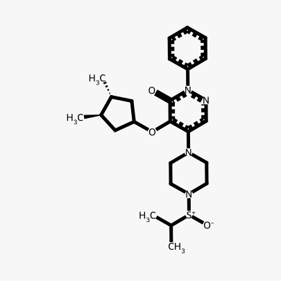 CC(C)[S+]([O-])N1CCN(c2cnn(-c3ccccc3)c(=O)c2OC2C[C@@H](C)[C@H](C)C2)CC1